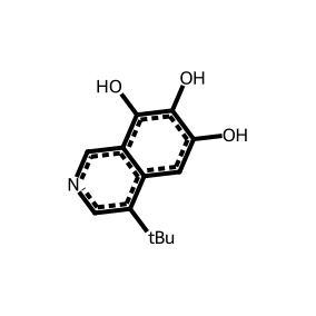 CC(C)(C)c1cncc2c(O)c(O)c(O)cc12